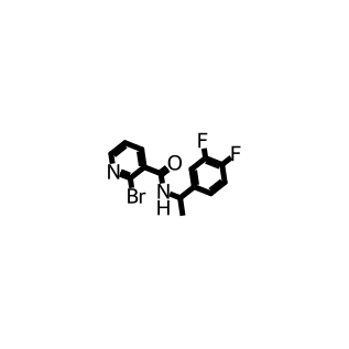 CC(NC(=O)c1cccnc1Br)c1ccc(F)c(F)c1